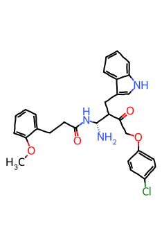 COc1ccccc1CCC(=O)N[C@@H](N)C(Cc1c[nH]c2ccccc12)C(=O)COc1ccc(Cl)cc1